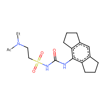 CCN(CCS(=O)(=O)NC(=O)Nc1c2c(cc3c1CCC3)CCC2)C(C)=O